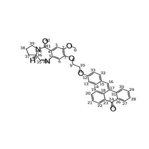 COc1cc2c(cc1OCCOc1ccc(C=C3c4ccccc4C(=O)c4ccccc43)cc1)N=C[C@@H]1CCCN1C2=O